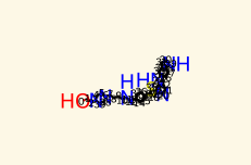 OCCN1CCN(CCCCNCc2ccc(-c3cc4nccc(Nc5ccc6[nH]ccc6c5)c4s3)cc2)CC1